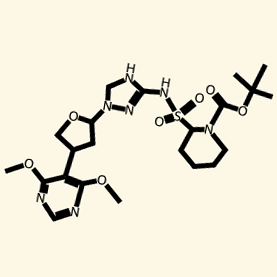 COc1ncnc(OC)c1C1COC(N2CNC(NS(=O)(=O)C3CCCCN3C(=O)OC(C)(C)C)=N2)C1